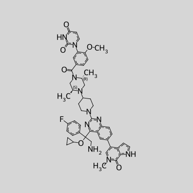 COc1ccc(C(=O)N2C[C@H](C)N(C3CCN(c4nc(C(CN)(OC5CC5)c5ccc(F)cc5)c5cc(-c6cn(C)c(=O)c7[nH]ccc67)ccc5n4)CC3)C[C@H]2C)cc1-n1ccc(=O)[nH]c1=O